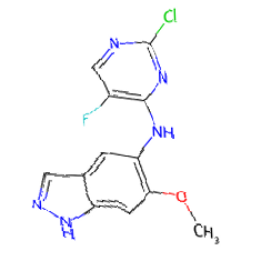 COc1cc2[nH]ncc2cc1Nc1nc(Cl)ncc1F